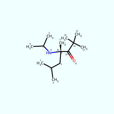 CC(C)C[C@](C)(NC(C)C)C(=O)C(C)(C)C